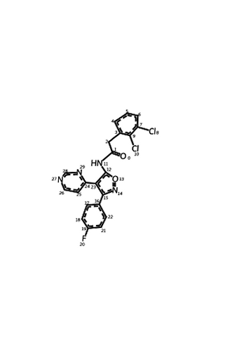 O=C(Cc1cccc(Cl)c1Cl)Nc1onc(-c2ccc(F)cc2)c1-c1ccncn1